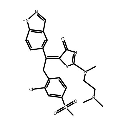 CN(C)CCN(C)C1=NC(=O)C(=C(Cc2ccc(S(C)(=O)=O)cc2Cl)c2ccc3[nH]ncc3c2)S1